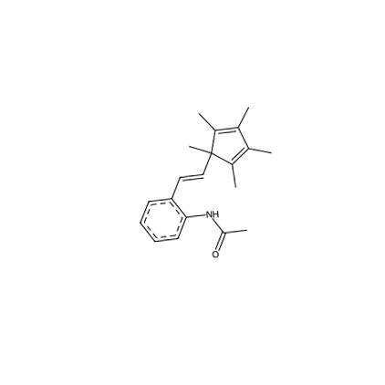 CC(=O)Nc1ccccc1/C=C/C1(C)C(C)=C(C)C(C)=C1C